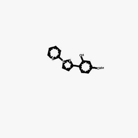 COc1ccc(-c2ccn(-c3ccccn3)n2)c(O)c1